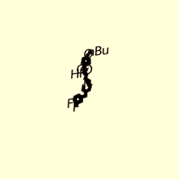 CCCCOc1ccc(S(=O)(=O)NCCCN2CCC(Cc3ccc(F)c(F)c3)CC2)cc1